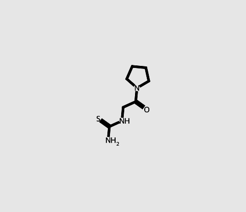 NC(=S)NCC(=O)N1CCCC1